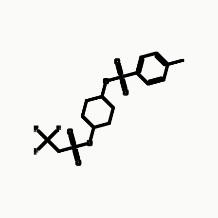 Cc1ccc(S(=O)(=O)OC2CCC(OS(=O)(=O)CC(F)(F)F)CC2)cc1